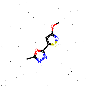 COc1cc(-c2nnc(C)o2)sn1